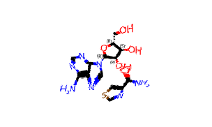 NC(=O)c1cscn1.Nc1ncnc2c1ncn2[C@@H]1O[C@H](CO)[C@@H](O)[C@H]1O